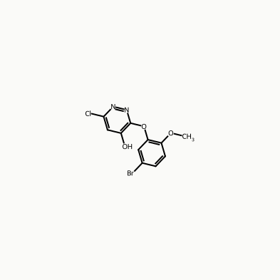 COc1ccc(Br)cc1Oc1nnc(Cl)cc1O